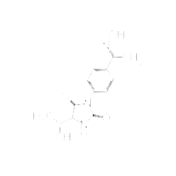 CC(=NO)c1ccc(N2C(=O)NC(C(C)C)C2=O)cc1